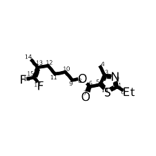 CCc1nc(C)c(C(=O)OCCCCC(C)=C(F)F)s1